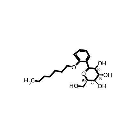 CCCCCCCOc1ccccc1[C]1O[C@H](CO)[C@@H](O)[C@H](O)[C@@H]1O